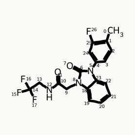 Cc1ccc(-n2c(=O)n(CC(=O)NCC(F)(F)F)c3ccccc32)cc1F